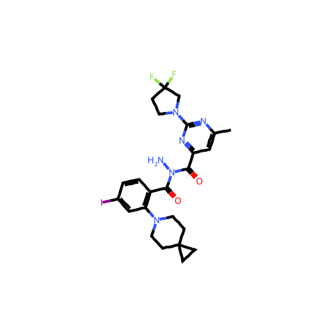 Cc1cc(C(=O)N(N)C(=O)c2ccc(I)cc2N2CCC3(CC2)CC3)nc(N2CCC(F)(F)C2)n1